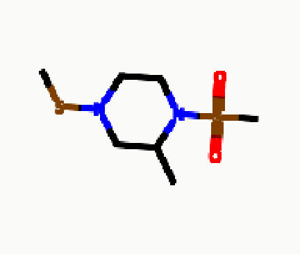 CSN1CCN(S(C)(=O)=O)C(C)C1